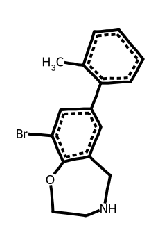 Cc1ccccc1-c1cc(Br)c2c(c1)CNCCO2